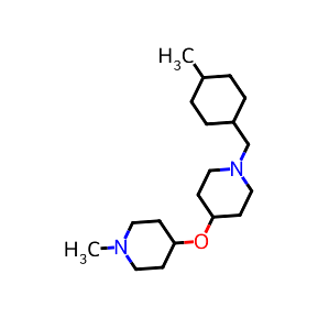 CC1CCC(CN2CCC(OC3CCN(C)CC3)CC2)CC1